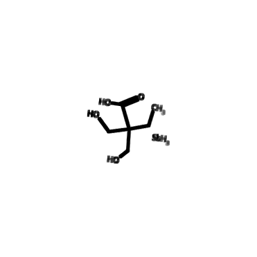 CCC(CO)(CO)C(=O)O.[SbH3]